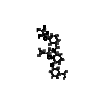 CC(C)c1cccc(Oc2cccc(N(Cc3cccc(OC(F)(F)C(F)F)c3)CC(O)C3CC3)c2)c1